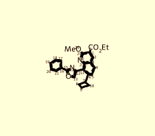 CCOC(=O)c1cc2ccc(C3CCC3)c(-c3coc(-c4ccccc4)n3)c2nc1OC